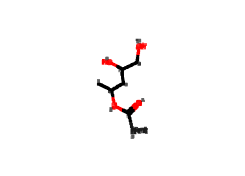 CCCCCC(=O)OC(C)CC(O)CO